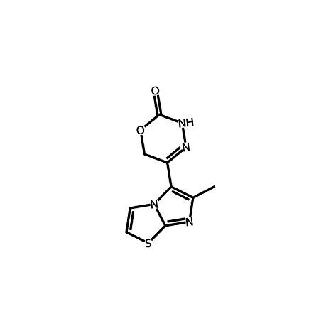 Cc1nc2sccn2c1C1=NNC(=O)OC1